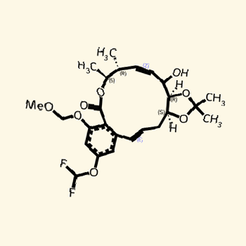 COCOc1cc(OC(F)F)cc2c1C(=O)O[C@@H](C)[C@H](C)/C=C\C(O)[C@H]1OC(C)(C)O[C@H]1C/C=C/2